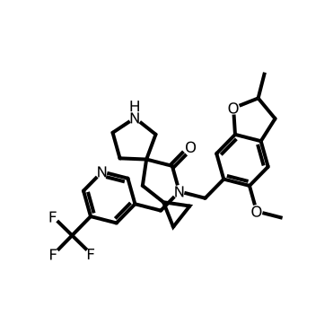 COc1cc2c(cc1CN(Cc1cncc(C(F)(F)F)c1)C(=O)C1(CC3CC3)CCNC1)OC(C)C2